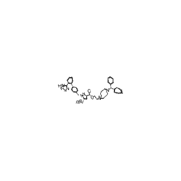 CCCCc1cc(C(=O)OCCN2CCN(C(c3ccccc3)c3ccccc3)CC2)nn1Cc1ccc(-c2ccccc2-c2nnn[nH]2)cc1